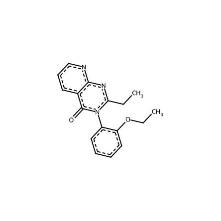 CCOc1ccccc1-n1c(CC)nc2ncccc2c1=O